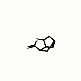 O=C1OC2CC3=CC2C1C3